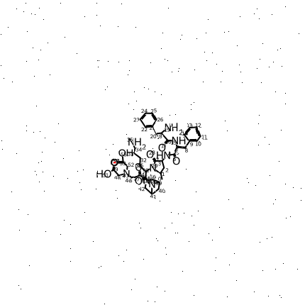 CC1CC(NC(=O)C(Cc2ccccc2)NC(=O)C(N)Cc2ccccc2)C(=O)N1C(CCCCN)C(=O)N1C2CC1CN(C(=O)CN(CC(=O)O)CC(=O)O)C2